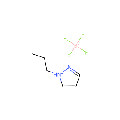 CCC[NH+]1C=CC=N1.F[B-](F)(F)F